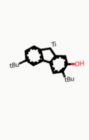 CC(C)(C)c1ccc2c(c1)-c1cc(C(C)(C)C)c(O)cc1C2.[Ti]